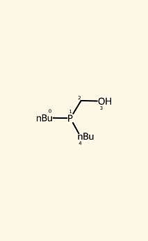 CCCCP(CO)CCCC